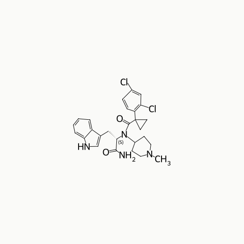 CN1CCC(N(C(=O)C2(c3ccc(Cl)cc3Cl)CC2)[C@@H](Cc2c[nH]c3ccccc23)C(N)=O)CC1